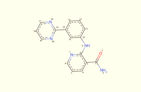 NC(=O)c1cccnc1Nc1cccc(-c2ncccn2)c1